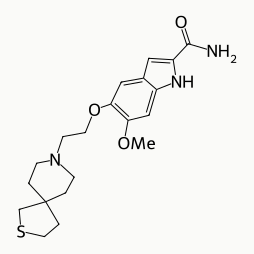 COc1cc2[nH]c(C(N)=O)cc2cc1OCCN1CCC2(CCSC2)CC1